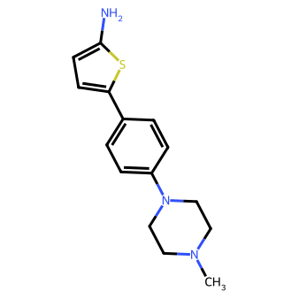 CN1CCN(c2ccc(-c3ccc(N)s3)cc2)CC1